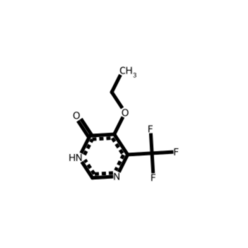 CCOc1c(C(F)(F)F)nc[nH]c1=O